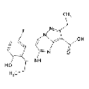 CCc1nn2ccc(NC(CC)c3cc(F)ccc3O)nc2c1C(=O)O